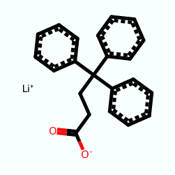 O=C([O-])CCC(c1ccccc1)(c1ccccc1)c1ccccc1.[Li+]